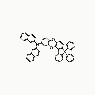 c1ccc2c(c1)-c1ccccc1C21c2ccccc2-c2c1ccc1c2Oc2cc(N(c3ccc4ccccc4c3)c3ccc4ccccc4c3)ccc2O1